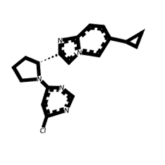 Clc1cc(N2CCC[C@@H]2c2cn3cc(C4CC4)ccc3n2)ncn1